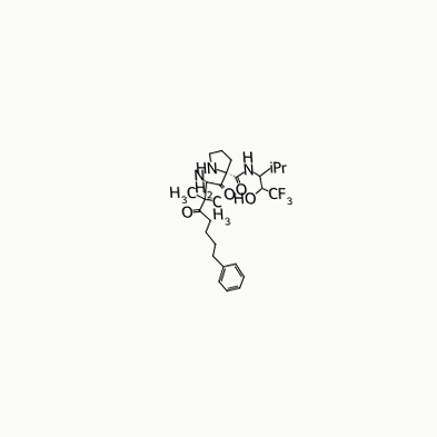 CC(C)C(NC(=O)[C@@]1(C(=O)[C@@H](N)C(C)(C)C(=O)CCCCc2ccccc2)CCCN1)C(O)C(F)(F)F